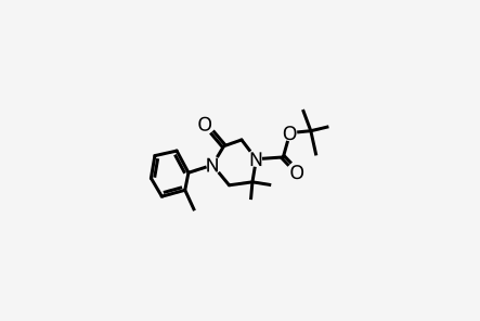 Cc1ccccc1N1CC(C)(C)N(C(=O)OC(C)(C)C)CC1=O